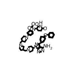 Nc1ncnc2c1c(-c1ccc(Oc3ccccc3)cc1)nn2C1CCN(CC2CCN(CC3CCN(c4ccc5c(c4)oc(=O)n5C4CCC(=O)NC4=O)CC3)C2)CC1